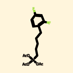 CC(=O)O[Si](CCCCCc1ccc(F)cc1F)(OC(C)=O)OC(C)=O